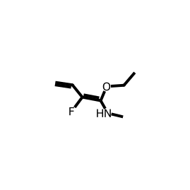 C=C/C(F)=C(/NC)OCC